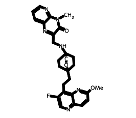 COc1ccc2ncc(F)c(CCC34CCC(NCc5nc6cccnc6n(C)c5=O)(CC3)CO4)c2n1